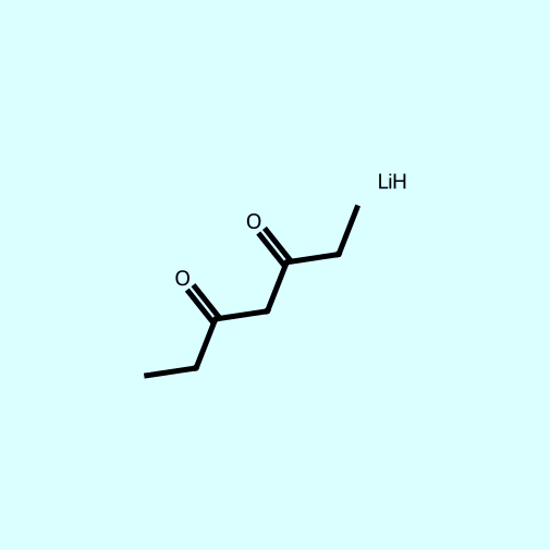 CCC(=O)CC(=O)CC.[LiH]